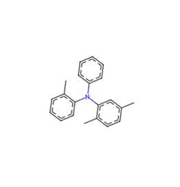 Cc1ccc(C)c(N(c2ccccc2)c2ccccc2C)c1